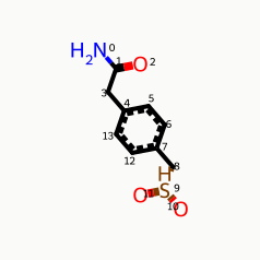 NC(=O)Cc1ccc(C[SH](=O)=O)cc1